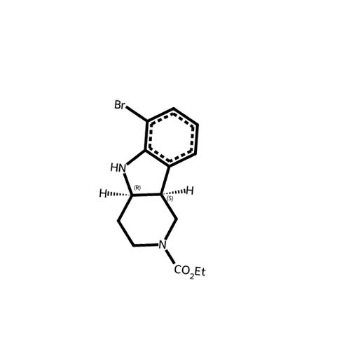 CCOC(=O)N1CC[C@H]2Nc3c(Br)cccc3[C@H]2C1